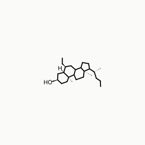 CCC[C@@H](C)C1CCC2C3C[C@H](CC)[C@@H]4C[C@H](O)CC[C@]4(C)C3CC[C@@]21C